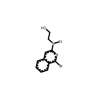 CCN(CCO)c1cc2ccccc2c(Br)n1